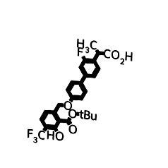 CC(C(=O)O)c1ccc(-c2ccc(OCc3ccc(C(F)(F)F)c(O)c3C(=O)OC(C)(C)C)cc2)cc1F